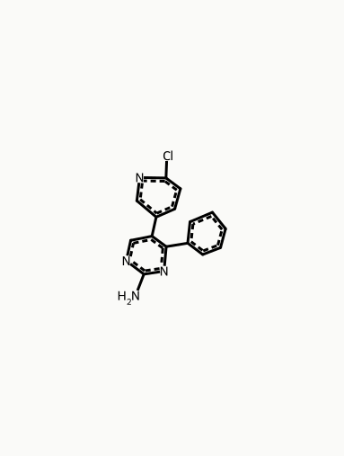 Nc1ncc(-c2ccc(Cl)nc2)c(-c2ccccc2)n1